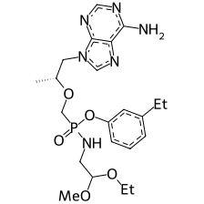 CCOC(CNP(=O)(CO[C@H](C)Cn1cnc2c(N)ncnc21)Oc1cccc(CC)c1)OC